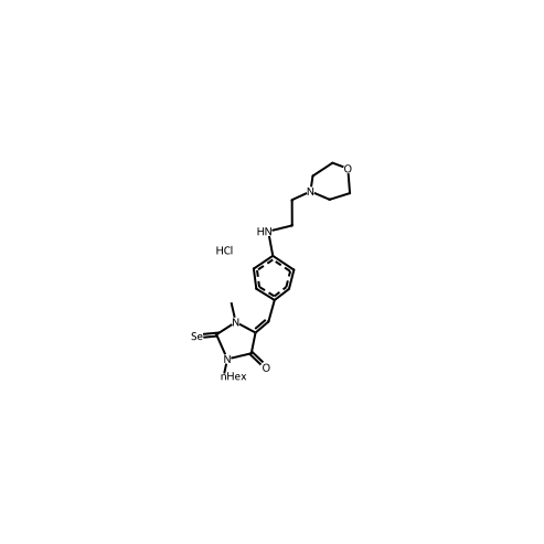 CCCCCCN1C(=O)C(=Cc2ccc(NCCN3CCOCC3)cc2)N(C)C1=[Se].Cl